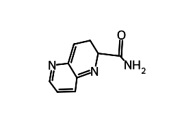 NC(=O)C1CC=c2ncccc2=N1